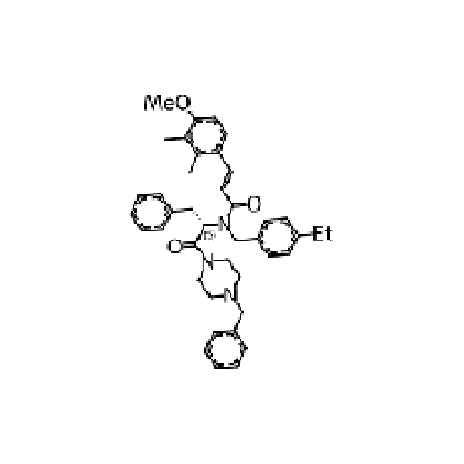 CCc1ccc(CN(C(=O)C=Cc2ccc(OC)c(C)c2C)[C@@H](Cc2ccccc2)C(=O)N2CCN(Cc3ccccc3)CC2)cc1